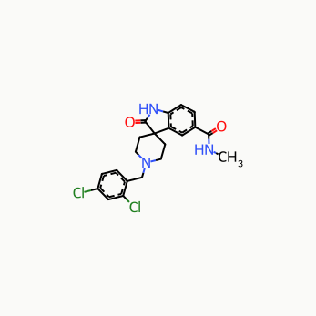 CNC(=O)c1ccc2c(c1)C1(CCN(Cc3ccc(Cl)cc3Cl)CC1)C(=O)N2